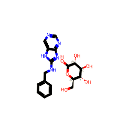 OC[C@H]1OC(O)[C@H](O)[C@@H](O)[C@@H]1O.c1ccc(CNc2nc3ncncc3[nH]2)cc1